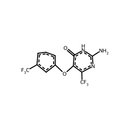 Nc1nc(C(F)(F)F)c(Oc2cccc(C(F)(F)F)c2)c(=O)[nH]1